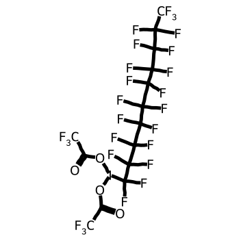 O=C(OI(OC(=O)C(F)(F)F)C(F)(F)C(F)(F)C(F)(F)C(F)(F)C(F)(F)C(F)(F)C(F)(F)C(F)(F)C(F)(F)C(F)(F)F)C(F)(F)F